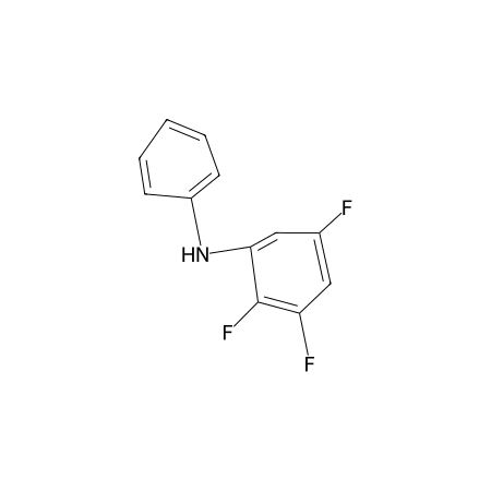 Fc1cc(F)c(F)c(Nc2ccccc2)c1